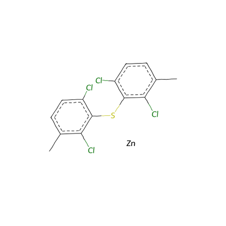 Cc1ccc(Cl)c(Sc2c(Cl)ccc(C)c2Cl)c1Cl.[Zn]